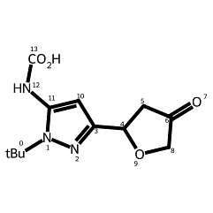 CC(C)(C)n1nc(C2CC(=O)CO2)cc1NC(=O)O